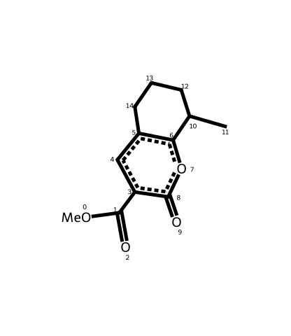 COC(=O)c1cc2c(oc1=O)C(C)CCC2